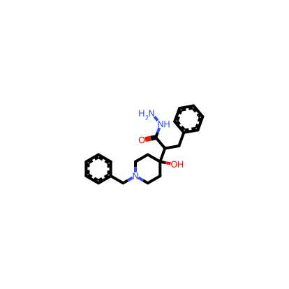 NNC(=O)C(Cc1ccccc1)C1(O)CCN(Cc2ccccc2)CC1